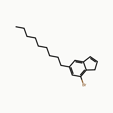 CCCCCCCCCc1cc(Br)c2c(c1)C=CC2